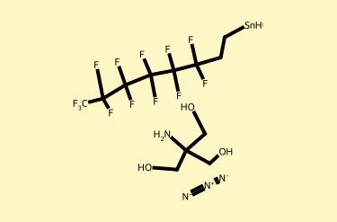 FC(F)(F)C(F)(F)C(F)(F)C(F)(F)C(F)(F)C(F)(F)C[CH2][SnH].NC(CO)(CO)CO.[N-]=[N+]=[N-]